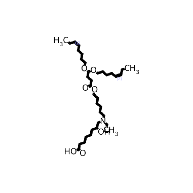 CC/C=C\CCCCOC(CCC(=O)OCCCCCCN(CC)CC(O)CCCCCC(=O)O)OCCCC/C=C\CC